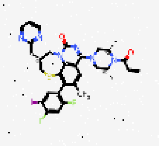 C=CC(=O)N1[C@H](C)CN(c2nc(=O)n3c4c(c(-c5cc(I)c(F)cc5F)c(C(F)(F)F)cc24)SC[C@@H](Cc2ncccn2)C3)C[C@@H]1C